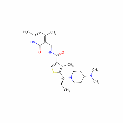 CC[C@@H](c1scc(C(=O)NCc2c(C)cc(C)[nH]c2=O)c1C)N1CCC(N(C)C)CC1